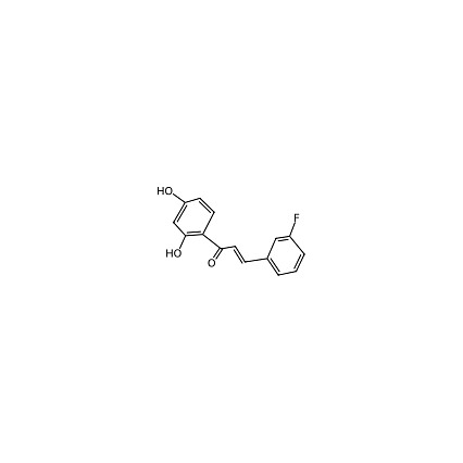 O=C(C=Cc1cccc(F)c1)c1ccc(O)cc1O